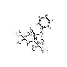 CS(=O)(=O)OC([PH](=O)Oc1ccccc1)S(C)(=O)=O